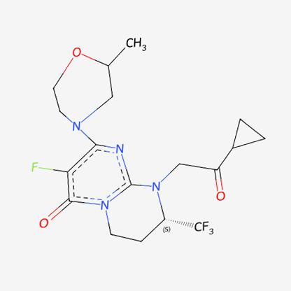 CC1CN(c2nc3n(c(=O)c2F)CC[C@@H](C(F)(F)F)N3CC(=O)C2CC2)CCO1